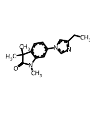 CCc1cn(-c2ccc3c(c2)N(C)C(=O)C3(C)C)cn1